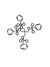 O=S(=O)(OCC(COS(=O)(=O)c1ccccc1)(COS(=O)(=O)c1ccccc1)COS(=O)(=O)c1ccccc1)c1ccccc1